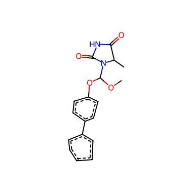 COC(Oc1ccc(-c2ccccc2)cc1)N1C(=O)NC(=O)C1C